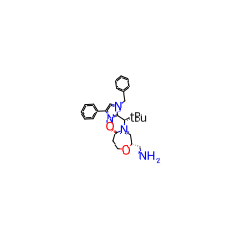 CC(C)(C)[C@H](c1nc(-c2ccccc2)cn1Cc1ccccc1)N1C[C@H](CN)OCCC1=O